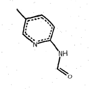 Cc1ccc(N[C]=O)nc1